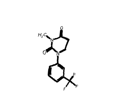 CN1C(=O)CCN(c2cccc(C(F)(F)F)c2)C1=O